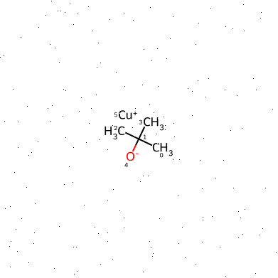 CC(C)(C)[O-].[Cu+]